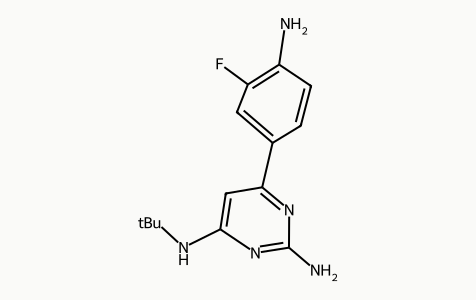 CC(C)(C)Nc1cc(-c2ccc(N)c(F)c2)nc(N)n1